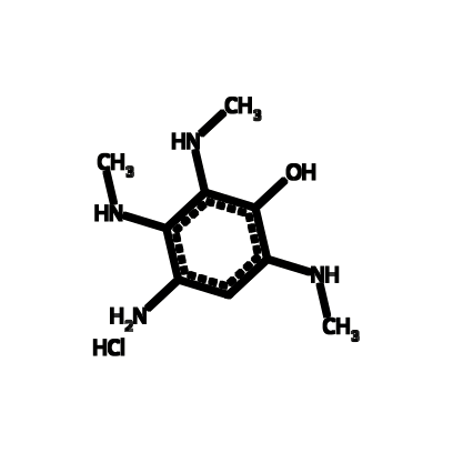 CNc1cc(N)c(NC)c(NC)c1O.Cl